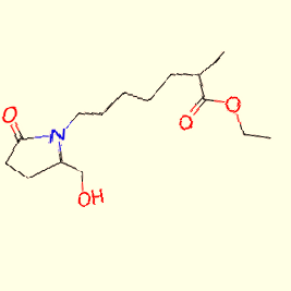 CCOC(=O)C(C)CCCCCN1C(=O)CCC1CO